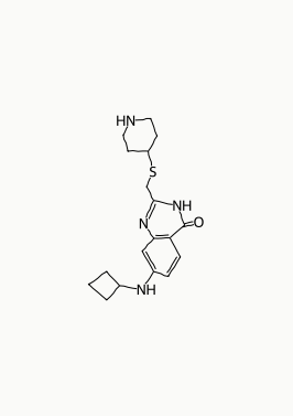 O=c1[nH]c(CSC2CCNCC2)nc2cc(NC3CCC3)ccc12